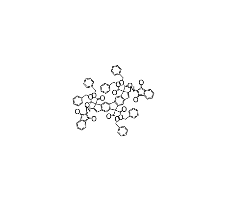 O=C(OCc1ccccc1)C1(C(=O)OCc2ccccc2)C(N=c2c(=O)c3ccccc3c2=O)=Cc2cc3c(cc21)-c1cc2c(cc1C3(C(=O)OCc1ccccc1)C(=O)OCc1ccccc1)C=C(N=c1c(=O)c3ccccc3c1=O)C2(C(=O)OCc1ccccc1)C(=O)OCc1ccccc1